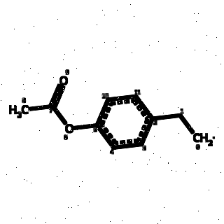 [CH2]Cc1ccc(OC(C)=O)cc1